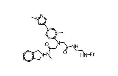 CCNCCNC(=O)CN(CC(=O)N(C)N1Cc2ccccc2C1)c1ccc(-c2cnn(C)c2)cc1C